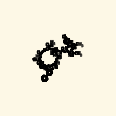 Cc1sc2c(c1C)C(c1ccc(Cl)cc1)=N[C@@H](CC(=O)NC[C@H]1NC(=O)CNC(=O)[C@@H](Cc3ccc(-c4ccccc4)cc3)NC(=O)[C@@H]3CCCN3C(=O)C(C(C)(C)C)NC(=O)CSC[C@H](C(N)=O)NC1=O)c1nnc(C)n1-2